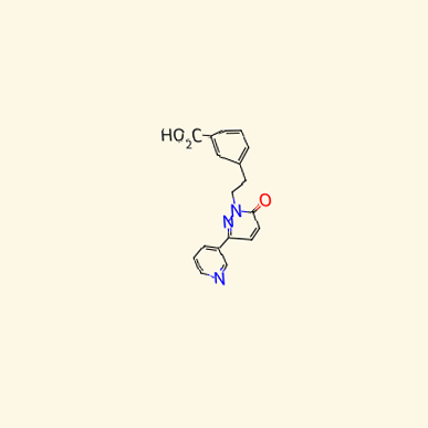 O=C(O)c1cccc(CCn2nc(-c3cccnc3)ccc2=O)c1